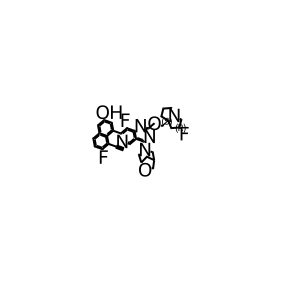 C#Cc1c(F)ccc2cc(O)cc(-c3ncc4c(N5CC6COC(C6)C5)nc(OC[C@@]56CCCN5C[C@H](F)C6)nc4c3F)c12